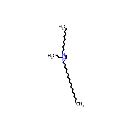 CCCCCCCCCCCCCCCCCCN1C=CN(CCCCCCCCCCC)C1CCC